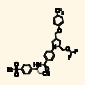 CCS(=O)(=O)c1ccc([C@@H](CC#N)NC(=O)c2ccc(N3CC(COC4=CCC(C(F)(F)F)C=C4)C[C@H]3COC(F)F)cc2)cc1